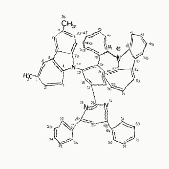 Cc1ccc2c(c1)c1cc(C)ccc1n2-c1cc(-c2nc(-c3ccccc3)cc(-c3ccccc3)n2)ccc1-c1ccccc1-n1c2ccccc2c2ccccc21